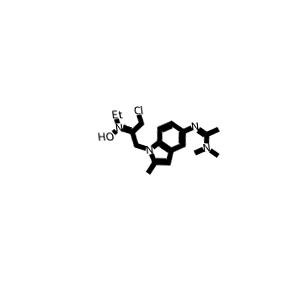 CC[N+](O)=C(CCl)Cn1c(C)cc2cc(N=C(C)N(C)C)ccc21